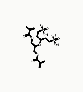 C=C(C)C(=O)OCC(COC(=O)C(=C)C)OC(CCP(=O)(O)O)CCP(=O)(O)O